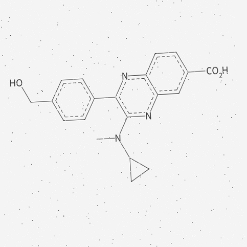 CN(c1nc2cc(C(=O)O)ccc2nc1-c1ccc(CO)cc1)C1CC1